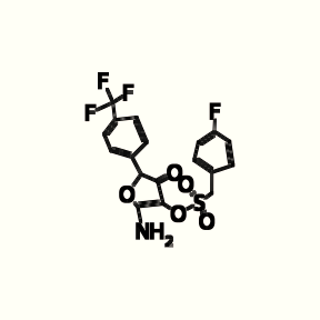 NC1=C(OS(=O)(=O)Cc2ccc(F)cc2)C(=O)C(c2ccc(C(F)(F)F)cc2)O1